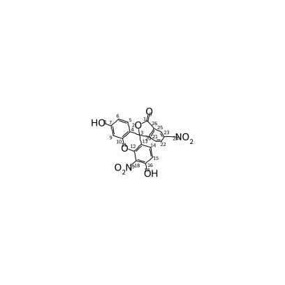 O=C1OC2(c3ccc(O)cc3Oc3c2ccc(O)c3[N+](=O)[O-])c2ccc([N+](=O)[O-])cc21